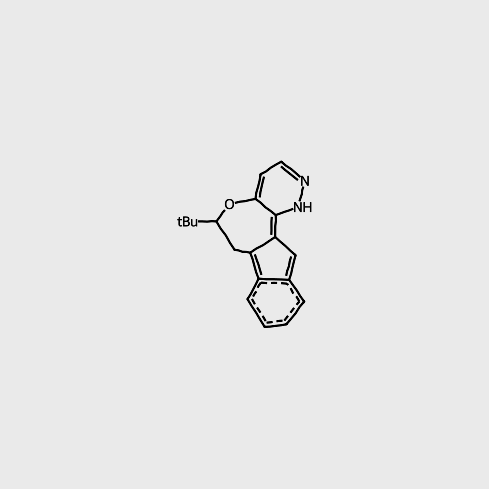 CC(C)(C)C1CC2=c3ccccc3=CC2=C2NN=CC=C2O1